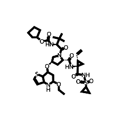 C=C[C@@H]1C[C@]1(NC(=O)[C@@H]1C[C@@H](OC2CC(OCC)NC3C=CSC32)CN1C(=O)[C@@H](NC(=O)OC1CCCC1)C(C)(C)C)C(=O)NS(=O)(=O)C1CC1